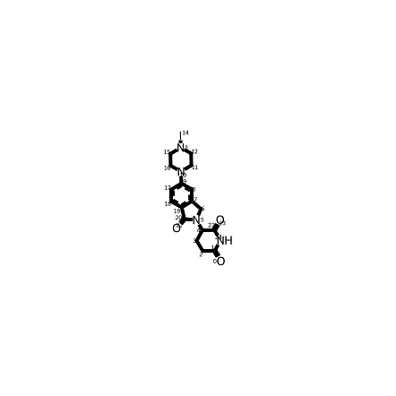 O=C1CCC(N2Cc3cc(N4CCN(I)CC4)ccc3C2=O)C(=O)N1